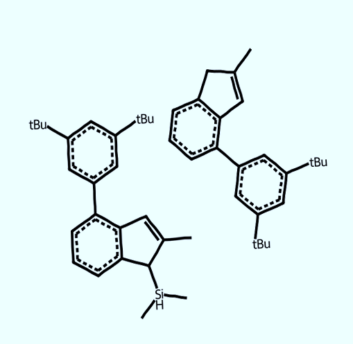 CC1=Cc2c(-c3cc(C(C)(C)C)cc(C(C)(C)C)c3)cccc2C1[SiH](C)C.CC1=Cc2c(cccc2-c2cc(C(C)(C)C)cc(C(C)(C)C)c2)C1